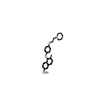 COc1ccc2c(Oc3ccc(OCCN4CCCCC4)cc3)c(C)ccc2c1